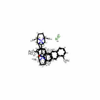 CC(=O)Oc1cc2c(OC(C)=O)cccc2cc1C[N+]1(C)[C@@H]2CC[C@H]1CC(C(CC(=O)O)(C(=O)O)C1C[C@H]3CC[C@@H](C1)[N+]3(C)Cc1cc3cccc(OC(C)=O)c3cc1OC(C)=O)C2.[Br-].[Br-]